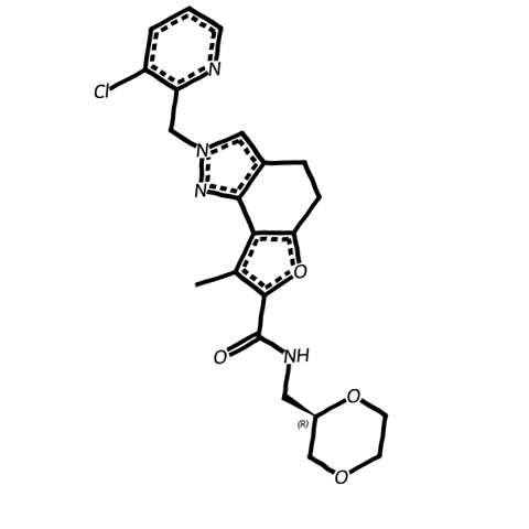 Cc1c(C(=O)NC[C@@H]2COCCO2)oc2c1-c1nn(Cc3ncccc3Cl)cc1CC2